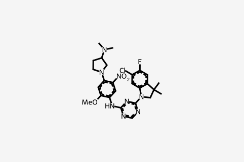 COc1cc(N2CCC(N(C)C)C2)c([N+](=O)[O-])cc1Nc1ncnc(N2CC(C)(C)c3cc(F)c(Cl)cc32)n1